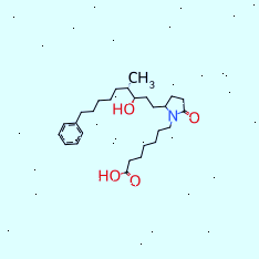 C[C@@H](CCCCCc1ccccc1)[C@H](O)CCC1CCC(=O)N1CCCCCCC(=O)O